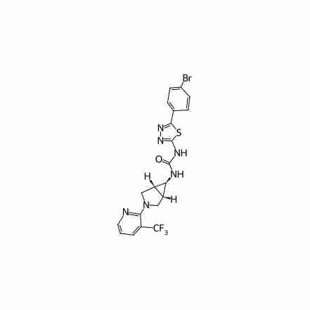 O=C(Nc1nnc(-c2ccc(Br)cc2)s1)N[C@H]1[C@@H]2CN(c3ncccc3C(F)(F)F)C[C@@H]21